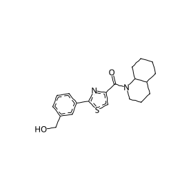 O=C(c1csc(-c2cccc(CO)c2)n1)N1CCCC2CCCCC21